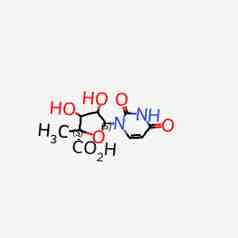 C[C@]1(C(=O)O)O[C@H](n2ccc(=O)[nH]c2=O)C(O)C1O